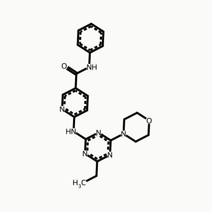 CCc1nc(Nc2ccc(C(=O)Nc3ccccc3)cn2)nc(N2CCOCC2)n1